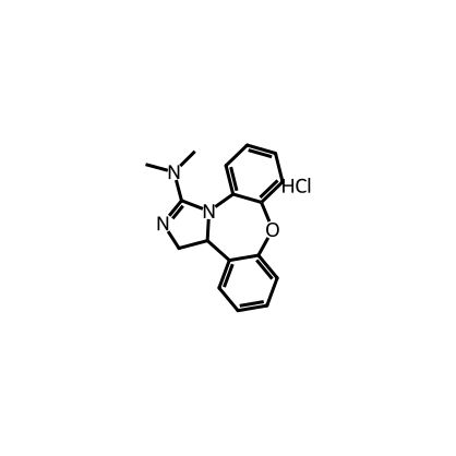 CN(C)C1=NCC2c3ccccc3Oc3ccccc3N12.Cl